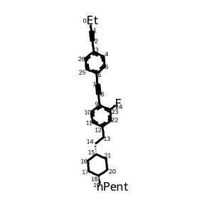 CCC#Cc1ccc(C#Cc2ccc(CC[C@H]3CC[C@H](CCCCC)CC3)cc2F)cc1